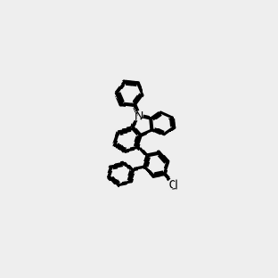 Clc1ccc(-c2cccc3c2c2ccccc2n3-c2ccccc2)c(-c2ccccc2)c1